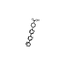 O=C(O)N1CCN(c2ccc(-c3ccc(C45CCN(CC4)C5)cn3)cn2)CC1